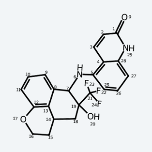 O=c1ccc2c(NC3c4cccc5c4C(CCO5)CC3(O)C(F)(F)F)cccc2[nH]1